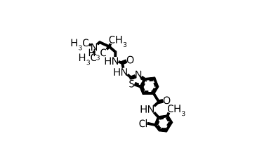 Cc1cccc(Cl)c1NC(=O)c1ccc2nc(NC(=O)NCC(C)(C)CN(C)C)sc2c1